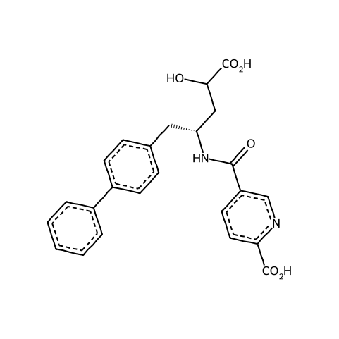 O=C(N[C@H](Cc1ccc(-c2ccccc2)cc1)CC(O)C(=O)O)c1ccc(C(=O)O)nc1